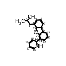 CC(C)CC1=CC=CC2c3cccc(C4C=CC=CN4)c3OC12